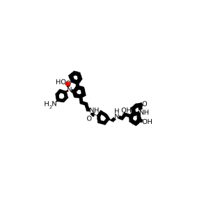 N[C@H]1CC[C@H](N(C(=O)O)c2cc(CCCNC(=O)[C@H]3CC[C@H](CNC[C@H](O)c4ccc(O)c5[nH]c(=O)ccc45)CC3)ccc2-c2ccccc2)CC1